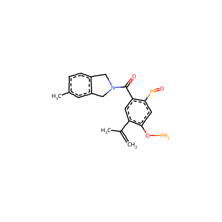 C=C(C)c1cc(C(=O)N2Cc3ccc(C)cc3C2)c(P=O)cc1OP